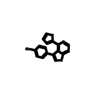 CC(C)(C)c1ccc(-c2csc3ncnc(-c4ccco4)c23)cc1